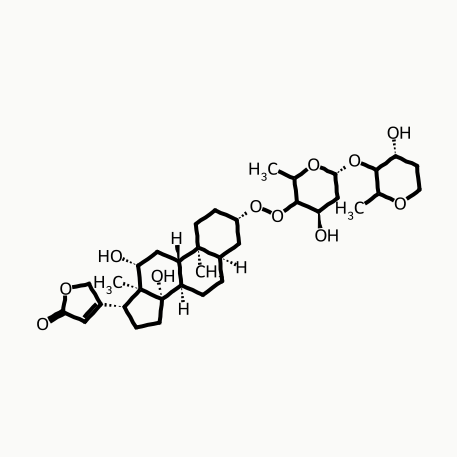 CC1O[C@H](OC2C(C)OCC[C@H]2O)C[C@@H](O)C1OO[C@H]1CC[C@@]2(C)[C@H](CC[C@@H]3[C@@H]2C[C@@H](O)[C@]2(C)[C@@H](C4=CC(=O)OC4)CC[C@]32O)C1